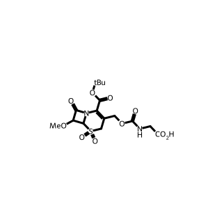 COC1C(=O)N2C(C(=O)OC(C)(C)C)=C(COC(=O)NCC(=O)O)CS(=O)(=O)C12